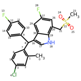 Cc1cc(Cl)ccc1C(c1ccc(F)cc1)c1c[nH]c2c(CS(C)(=O)=O)cc(F)cc12